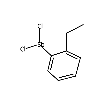 CCc1cccc[c]1[Sb]([Cl])[Cl]